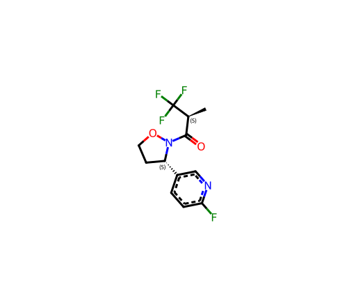 C[C@@H](C(=O)N1OCC[C@H]1c1ccc(F)nc1)C(F)(F)F